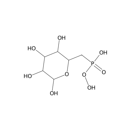 O=P(O)(CC1OC(O)C(O)C(O)C1O)OO